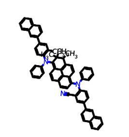 Cc1cc(-c2ccc3ccccc3c2)ccc1N(C1=c2ccc3ccc(N(c4ccccc4)c4ccc(-c5ccc6ccccc6c5)cc4C#N)c4ccc(c2c34)C(C)C1(C)C)c1ccccc1